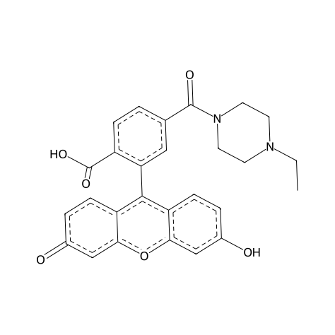 CCN1CCN(C(=O)c2ccc(C(=O)O)c(-c3c4ccc(=O)cc-4oc4cc(O)ccc34)c2)CC1